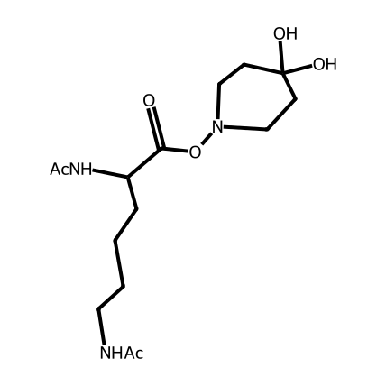 CC(=O)NCCCCC(NC(C)=O)C(=O)ON1CCC(O)(O)CC1